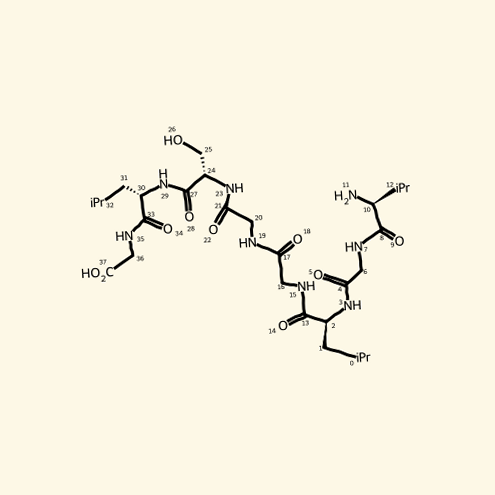 CC(C)C[C@H](NC(=O)CNC(=O)[C@@H](N)C(C)C)C(=O)NCC(=O)NCC(=O)N[C@@H](CO)C(=O)N[C@@H](CC(C)C)C(=O)NCC(=O)O